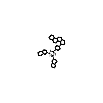 c1ccc2cc(-c3nc(-c4ccc(-c5cccc6ccc7c8ccccc8ccc7c56)cc4)nc(-c4ccc5ccccc5c4)n3)ccc2c1